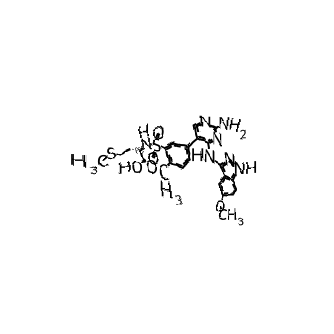 COc1ccc2[nH]nc(Nc3nc(N)ncc3-c3ccc(C)c(S(=O)(=O)N[C@@H](CCSC)C(=O)O)c3)c2c1